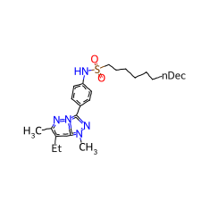 CCCCCCCCCCCCCCCCS(=O)(=O)Nc1ccc(-c2nn(C)c3c(CC)c(C)nn23)cc1